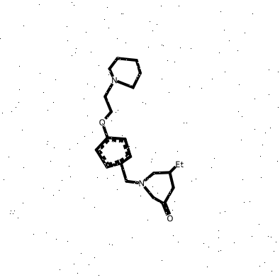 CCC1CC(=O)CN(Cc2ccc(OCCN3CCCCC3)cc2)C1